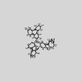 c1cc(N(c2ccc3oc4ccncc4c3c2)c2ccc3c4ccccc4c4ccccc4c3c2)c2oc3ccncc3c2c1